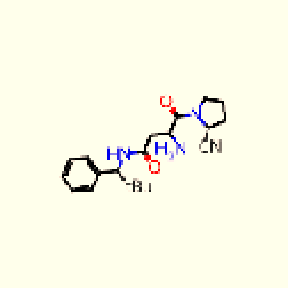 CC(C)(C)C(NC(=O)CC(N)C(=O)N1CCC[C@H]1C#N)c1ccccc1